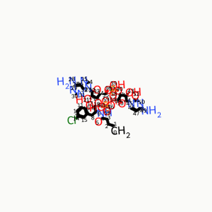 C=CCCC(=O)NC(Cc1cccc(Cl)c1)C(=O)O[C@H]1[C@@H](O)[C@H](n2cnc3c(N)ncnc32)O[C@H]1COP(=O)(O)O[C@H]1[C@@H](O)[C@H](n2ccc(N)nc2=O)O[C@@H]1COP(=O)(O)O